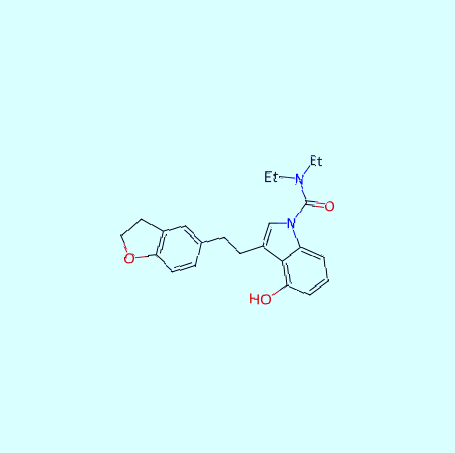 CCN(CC)C(=O)n1cc(CCc2ccc3c(c2)CCO3)c2c(O)cccc21